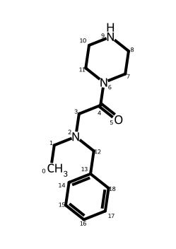 CCN(CC(=O)N1CCNCC1)Cc1ccccc1